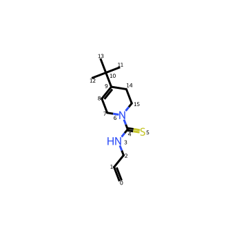 C=CCNC(=S)N1CC=C(C(C)(C)C)CC1